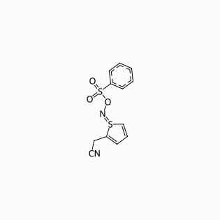 N#CCC1=CC=CS1=NOS(=O)(=O)c1ccccc1